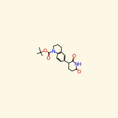 CC(C)(C)OC(=O)N1CCCc2cc(C3CCC(=O)NC3=O)ccc21